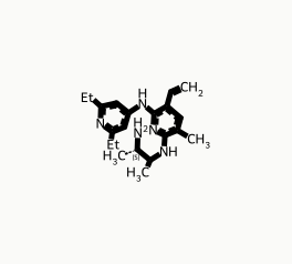 C=Cc1cc(C)c(NC(C)[C@H](C)N)nc1Nc1cc(CC)nc(CC)c1